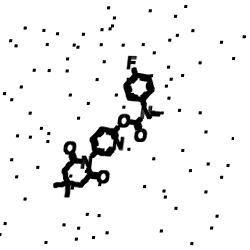 CN(C(=O)Oc1ccc(N2C(=O)CC(C)(C)CC2=O)cn1)c1ccc(F)cc1